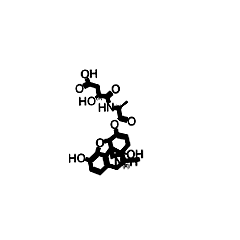 C[C@H](NC(=O)[C@@H](O)CC(=O)O)C(=O)OC1=CC[C@@]2(O)[C@H]3Cc4ccc(O)c5c4C2(CCN3C)C1O5